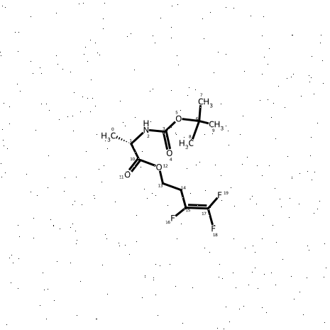 C[C@H](NC(=O)OC(C)(C)C)C(=O)OCCC(F)=C(F)F